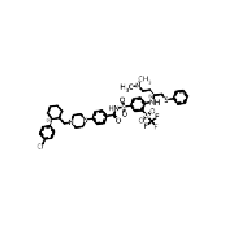 CN(C)CC[C@@H](CSc1ccccc1)Nc1ccc(S(=O)(=O)NC(=O)c2ccc(N3CCN(CC4CCCC[C@@H]4c4ccc(Cl)cc4)CC3)cc2)cc1S(=O)(=O)C(F)(F)F